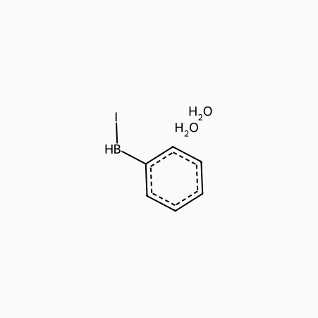 IBc1ccccc1.O.O